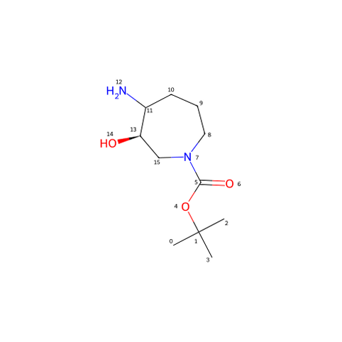 CC(C)(C)OC(=O)N1CCCC(N)[C@H](O)C1